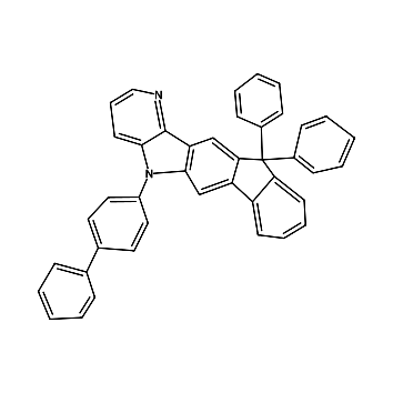 c1ccc(-c2ccc(-n3c4cc5c(cc4c4ncccc43)C(c3ccccc3)(c3ccccc3)c3ccccc3-5)cc2)cc1